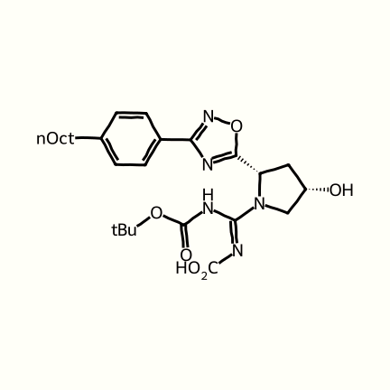 CCCCCCCCc1ccc(-c2noc([C@@H]3C[C@H](O)CN3/C(=N/C(=O)O)NC(=O)OC(C)(C)C)n2)cc1